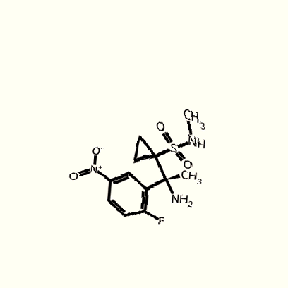 CNS(=O)(=O)C1([C@](C)(N)c2cc([N+](=O)[O-])ccc2F)CC1